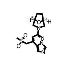 CS(=O)(=O)Cc1cc(N2C[C@H]3CC[C@@H](C2)O3)nn2cncc12